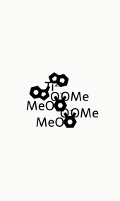 C1=C[CH]([Ti+2][CH]2C=Cc3ccccc32)c2ccccc21.COc1cccc(OC)c1[O-].COc1cccc(OC)c1[O-]